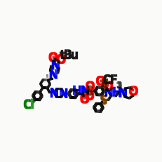 CC(C)(C)OC(=O)N1CCN(C[C@]2(C)CCC(c3ccc(Cl)cc3)=C(CN3CCN(c4ccc(C(=O)NS(=O)(=O)c5ccc(N[C@H](CCN6CCCOCC6)CSc6ccccc6)c(S(=O)(=O)C(F)(F)F)c5)cc4)CC3)C2)CC1